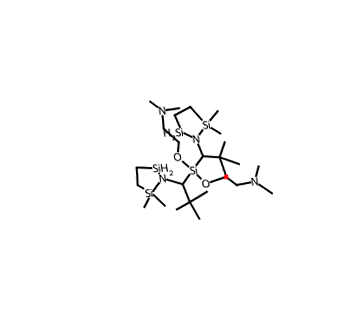 CN(C)CCO[Si](OCCN(C)C)(C(N1[SiH2]CC[Si]1(C)C)C(C)(C)C)C(N1[SiH2]CC[Si]1(C)C)C(C)(C)C